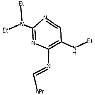 [CH2]CCC=Nc1nc(N(CC)CC)ncc1NCC